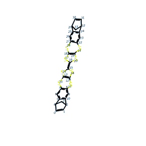 C1=CC2CC1c1cc3c(cc12)SC1=C(SC(=C2SC4=C(S2)Sc2cc5c(cc2S4)C2C=CC5C2)S1)S3